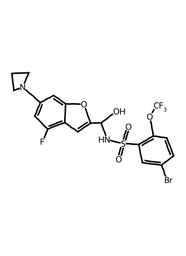 O=S(=O)(NC(O)c1cc2c(F)cc(N3CCC3)cc2o1)c1cc(Br)ccc1OC(F)(F)F